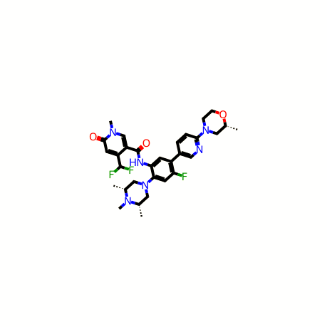 C[C@@H]1CN(c2ccc(-c3cc(NC(=O)c4cn(C)c(=O)cc4C(F)F)c(N4C[C@@H](C)N(C)[C@@H](C)C4)cc3F)cn2)CCO1